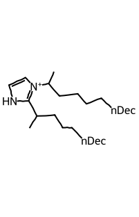 CCCCCCCCCCCCCCC(C)[n+]1cc[nH]c1C(C)CCCCCCCCCCCCC